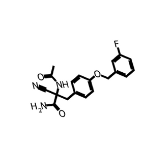 CC(=O)NC(C#N)(Cc1ccc(OCc2cccc(F)c2)cc1)C(N)=O